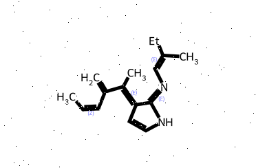 C=C(/C=C\C)\C(C)=C1/C=CN/C1=N/C=C(\C)CC